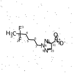 CC(F)(F)CCCCn1ncc([N+](=O)[O-])n1